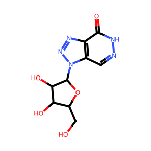 O=c1[nH]ncc2c1nnn2C1OC(CO)C(O)C1O